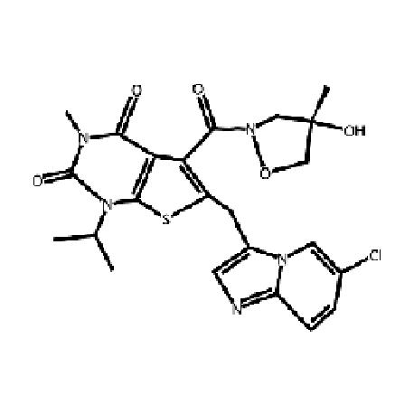 CC(C)n1c(=O)n(C)c(=O)c2c(C(=O)N3C[C@](C)(O)CO3)c(Cc3cnc4ccc(Cl)cn34)sc21